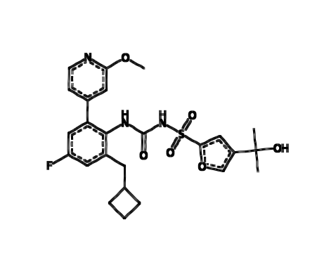 COc1cc(-c2cc(F)cc(CC3CCC3)c2NC(=O)NS(=O)(=O)c2cc(C(C)(C)O)co2)ccn1